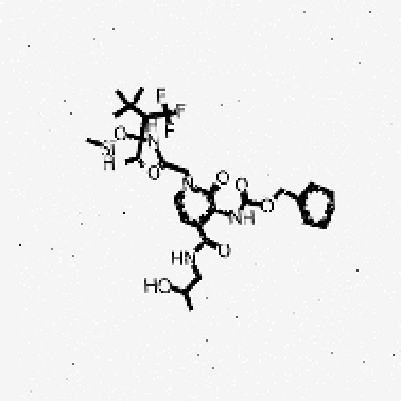 CC(O)CNC(=O)c1ccn(CC(=O)NC(O[SiH](C)C)(C(C)C)C(C(C)(C)C)C(F)(F)F)c(=O)c1NC(=O)OCc1ccccc1